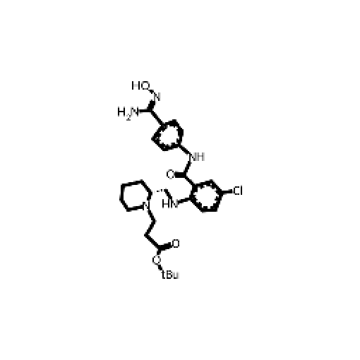 CC(C)(C)OC(=O)CCN1CCCC[C@@H]1CNc1ccc(Cl)cc1C(=O)Nc1ccc(/C(N)=N/O)cc1